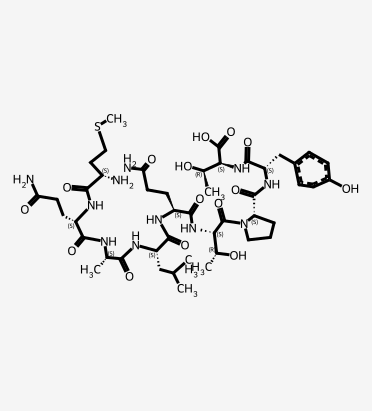 CSCC[C@H](N)C(=O)N[C@@H](CCC(N)=O)C(=O)N[C@@H](C)C(=O)N[C@@H](CC(C)C)C(=O)N[C@@H](CCC(N)=O)C(=O)N[C@H](C(=O)N1CCC[C@H]1C(=O)N[C@@H](Cc1ccc(O)cc1)C(=O)N[C@H](C(=O)O)[C@@H](C)O)[C@@H](C)O